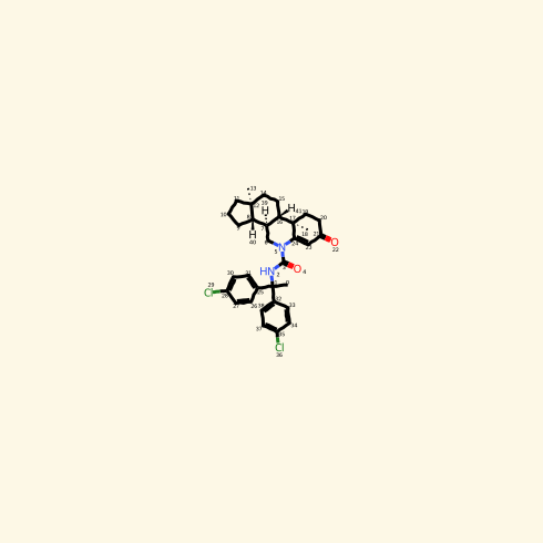 CC(NC(=O)N1C[C@H]2[C@@H]3CCC[C@@]3(C)CC[C@@H]2[C@@]2(C)CCC(=O)C=C12)(c1ccc(Cl)cc1)c1ccc(Cl)cc1